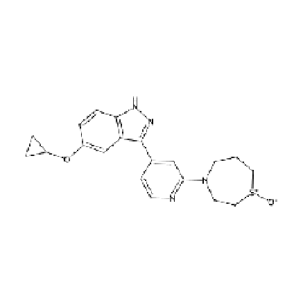 [O-][S+]1CCCN(c2cc(-c3n[nH]c4ccc(OC5CC5)cc34)ccn2)CC1